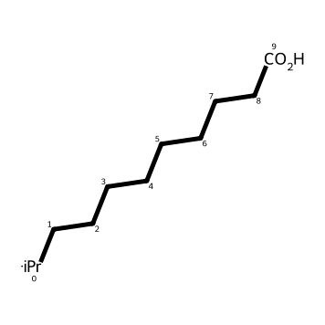 C[C](C)CCCCCCCCC(=O)O